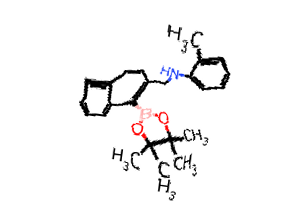 Cc1ccccc1NCc1ccc2ccccc2c1B1OC(C)(C)C(C)(C)O1